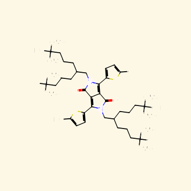 COC(C)(CCCC(CCCC(C)(OC)OC)CN1C(=O)C2=C(c3ccc(C)s3)N(CC(CCCC(C)(OC)OC)CCCC(C)(OC)OC)C(=O)C2=C1c1ccc(C)s1)OC